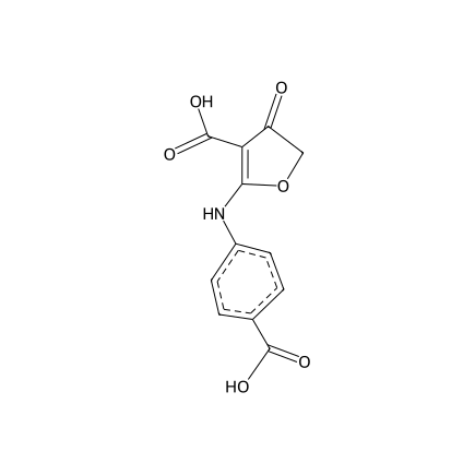 O=C(O)C1=C(Nc2ccc(C(=O)O)cc2)OCC1=O